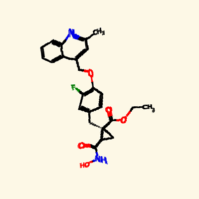 CCOC(=O)[C@@]1(Cc2ccc(OCc3cc(C)nc4ccccc34)c(F)c2)CC1C(=O)NO